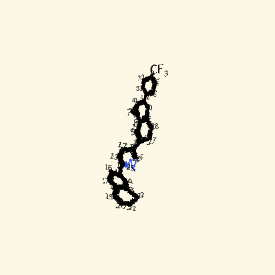 FC(F)(F)c1ccc(-c2ccc3cc(-c4ccc(-c5ccc6ccccc6c5)nc4)ccc3c2)cc1